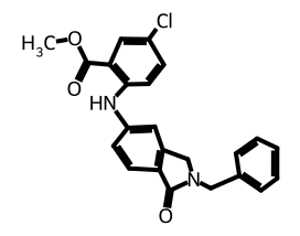 COC(=O)c1cc(Cl)ccc1Nc1ccc2c(c1)CN(Cc1ccccc1)C2=O